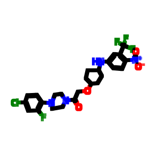 O=C(COC1CCC(Nc2ccc([N+](=O)[O-])c(C(F)(F)F)c2)CC1)N1CCN(c2ccc(Cl)cc2F)CC1